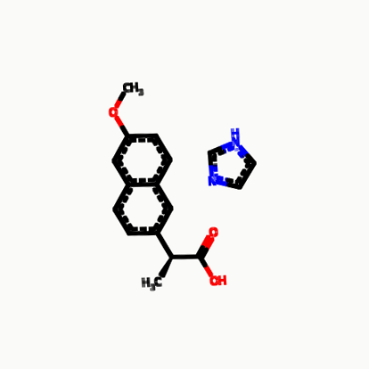 COc1ccc2cc([C@H](C)C(=O)O)ccc2c1.c1c[nH]cn1